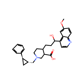 COc1ccc2nccc(C(O)CCC3CCN(C[C@@H]4C[C@H]4c4ccccc4)CC3C(=O)O)c2c1